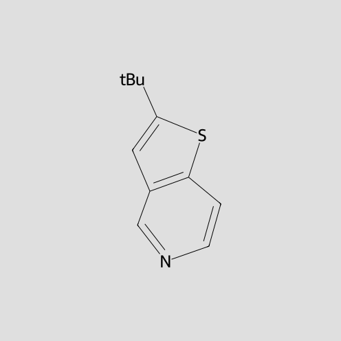 CC(C)(C)c1cc2cnccc2s1